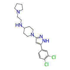 Clc1ccc(-c2cc(N3CCC(NCCN4CCCC4)CC3)n[nH]2)cc1Cl